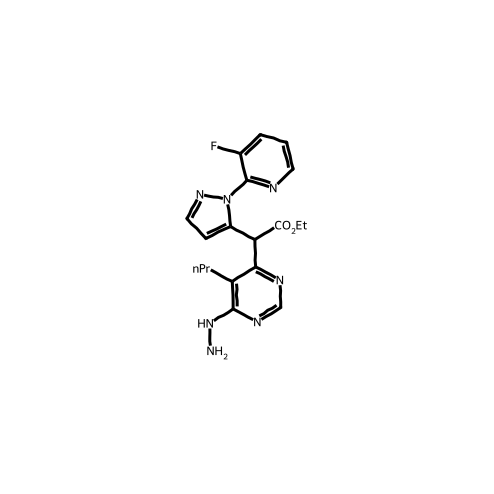 CCCc1c(NN)ncnc1C(C(=O)OCC)c1ccnn1-c1ncccc1F